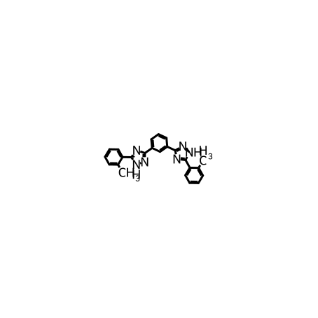 Cc1ccccc1-c1nc(-c2cccc(-c3n[nH]c(-c4ccccc4C)n3)c2)n[nH]1